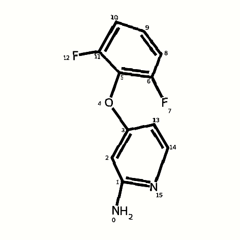 Nc1cc(Oc2c(F)cccc2F)ccn1